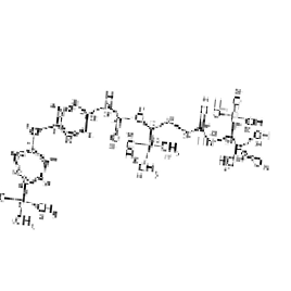 CC(C)(C)c1ccc(Oc2ccc(NC(=O)OC(CCC(=O)NC(P(=O)(O)O)P(=O)(O)O)C(C)(C)C)cn2)cc1